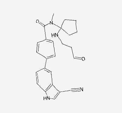 CN(C(=O)c1ccc(-c2ccc3[nH]cc(C#N)c3c2)cc1)C1(NCCC=O)CCCC1